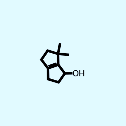 CC1(C)CCC2=C1C(O)CC2